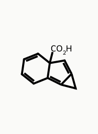 O=C(O)C12C=CC=CC1=C1CC1=C2